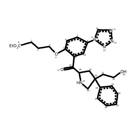 CCOC(=O)CCCOc1ccc(-n2cnnn2)cc1C(=O)C1CC(CCO)(c2ccccc2)CN1